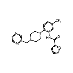 O=C(Nc1cc(C(F)(F)F)ccc1N1CCN(Cc2cnccn2)CC1)c1ccco1